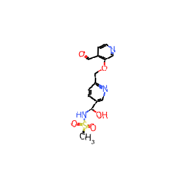 CS(=O)(=O)NC(O)c1ccc(COc2cnccc2C=O)nc1